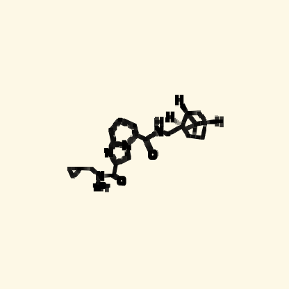 CCCN(CC1CC1)C(=O)c1cn2c(C(=O)NC[C@@H]3CC[C@H]4C[C@@H]3C4(C)C)cccc2n1